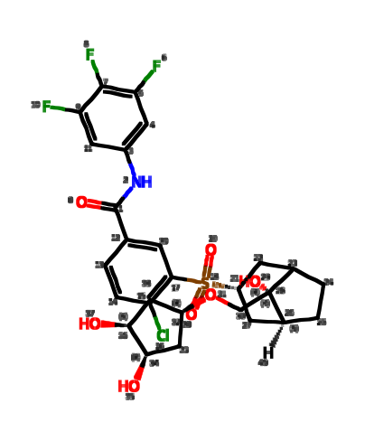 O=C(Nc1cc(F)c(F)c(F)c1)c1ccc(Cl)c(S(=O)(=O)[C@@H]2CC3CC[C@@H](C2)[C@@]3(O)CO[C@H]2C[C@@H](O)[C@@H](O)C2)c1